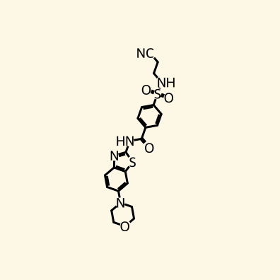 N#CCCNS(=O)(=O)c1ccc(C(=O)Nc2nc3ccc(N4CCOCC4)cc3s2)cc1